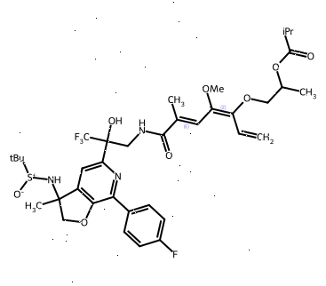 C=C/C(OCC(C)OC(=O)C(C)C)=C(\C=C(/C)C(=O)NCC(O)(c1cc2c(c(-c3ccc(F)cc3)n1)OCC2(C)N[S+]([O-])C(C)(C)C)C(F)(F)F)OC